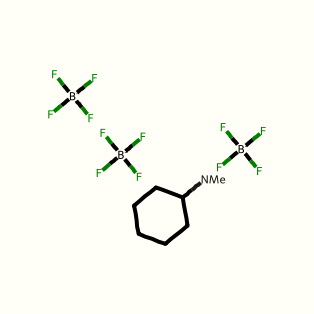 CNC1CCCCC1.F[B-](F)(F)F.F[B-](F)(F)F.F[B-](F)(F)F